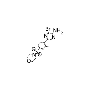 Cc1cc(S(=O)(=O)N2CCOCC2)ccc1-c1cnc(N)c(Br)n1